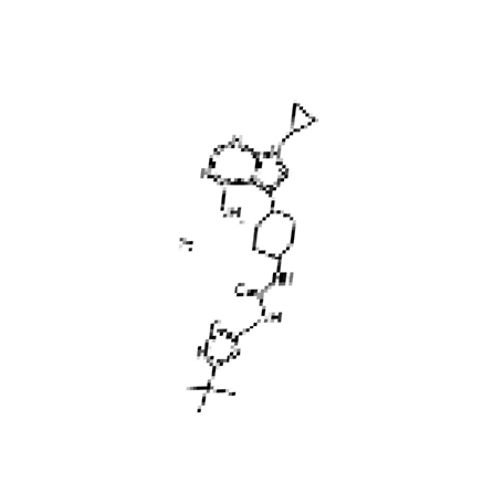 CC(C)(C)c1cc(NC(=O)NC2CCC(c3cn(C4CC4)c4ncnc(N)c34)CC2)on1.[Pt]